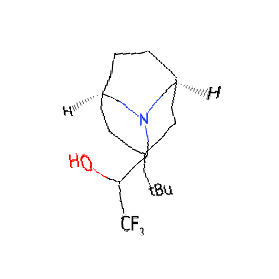 CC(C)(C)C1C[C@H]2CC[C@@H](C1)N2CC(O)C(F)(F)F